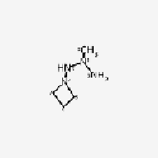 CN(N)NN1CCC1